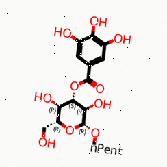 CCCCCO[C@@H]1O[C@H](CO)[C@@H](O)[C@H](OC(=O)c2cc(O)c(O)c(O)c2)[C@H]1O